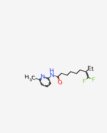 CCC(CCCCCC(=O)Nc1cccc(C)n1)=C(F)F